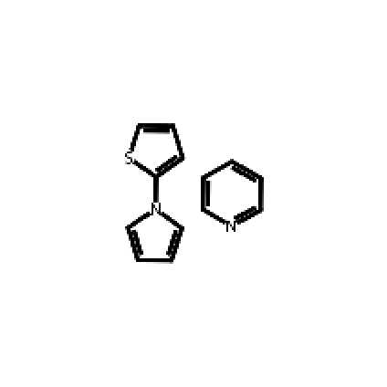 c1ccncc1.c1csc(-n2cccc2)c1